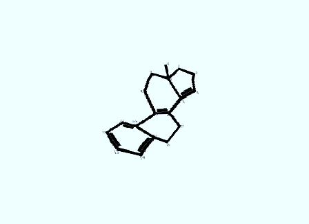 CC12CCC=C1C1=C(CC2)c2ccccc2CC1